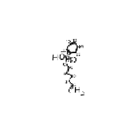 C=CCCCCCP(=O)(O)c1ccccc1